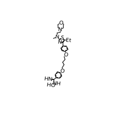 CCc1sc(N(C)CCN2CCOCC2)nc1-c1ccc(OCCCCCOc2ccc(C(=N)NO)cc2)cc1